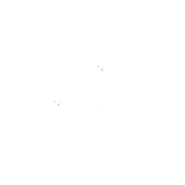 CN1CC2CCCC2(CN)C1